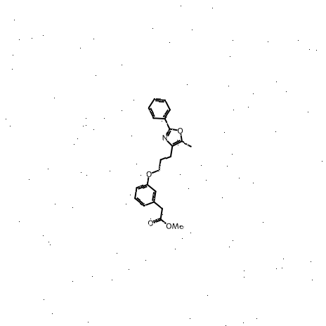 COC(=O)Cc1cccc(OCCCc2nc(-c3ccccc3)oc2C)c1